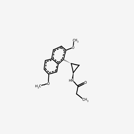 CCC(=O)N[C@@H]1C[C@H]1c1c(OC)ccc2ccc(OC)cc12